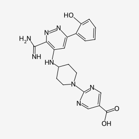 N=C(N)c1nnc(-c2ccccc2O)cc1NC1CCN(c2ncc(C(=O)O)cn2)CC1